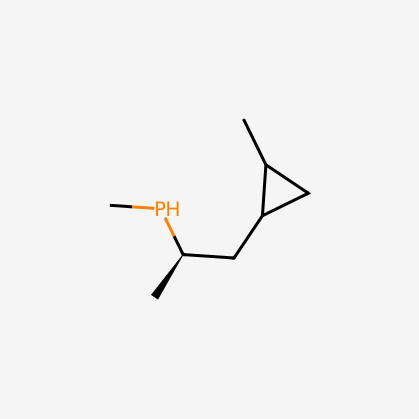 CP[C@H](C)CC1CC1C